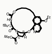 CCOc1cc2cc3c(nccc13)O[C@@H]1C[C@@H](C(=O)OC)N(C1)C(=O)[C@H](C(C)(C)C)NC(=O)OCCCCC2